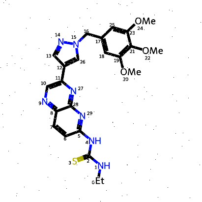 CCNC(=S)Nc1ccc2ncc(-c3cnn(Cc4cc(OC)c(OC)c(OC)c4)c3)nc2n1